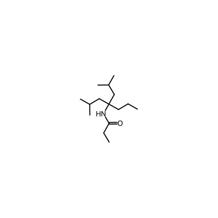 CCCC(CC(C)C)(CC(C)C)NC(=O)CC